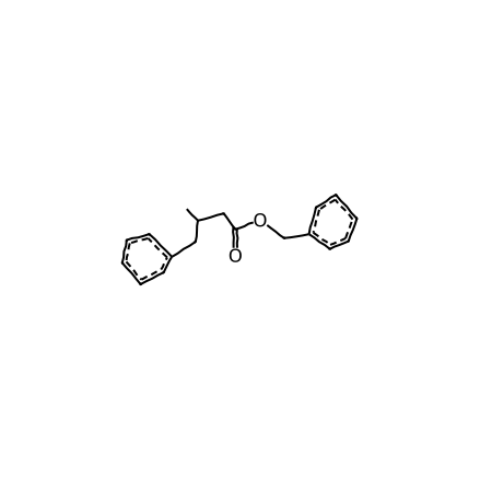 CC(CC(=O)OCc1ccccc1)Cc1ccccc1